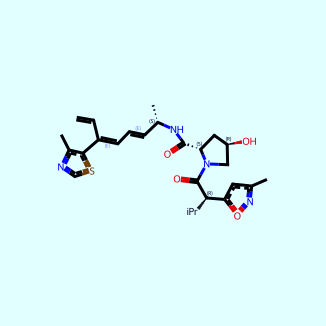 C=C/C(=C\C=C\[C@H](C)NC(=O)[C@@H]1C[C@@H](O)CN1C(=O)[C@@H](c1cc(C)no1)C(C)C)c1scnc1C